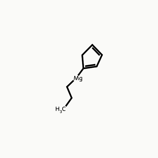 CC[CH2][Mg][C]1=CC=CC1